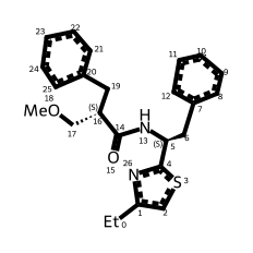 CCc1csc([C@H](Cc2cc[c]cc2)NC(=O)[C@H](COC)Cc2ccccc2)n1